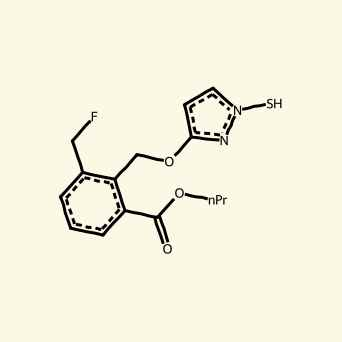 CCCOC(=O)c1cccc(CF)c1COc1ccn(S)n1